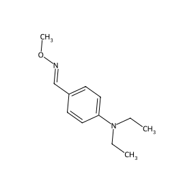 CCN(CC)c1ccc(C=NOC)cc1